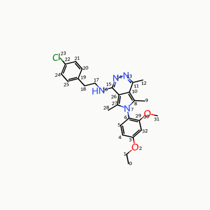 CCOc1ccc(-n2c(C)c3c(C)nnc(NCCc4ccc(Cl)cc4)c3c2C)c(OC)c1